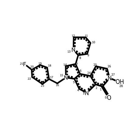 O=c1c2ncc3c(c(-c4ccccn4)cn3Cc3ccc(F)cc3)c2ccn1O